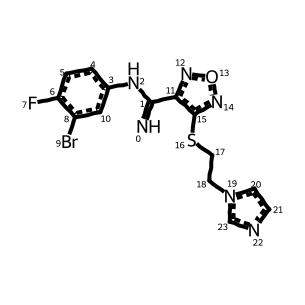 N=C(Nc1ccc(F)c(Br)c1)c1nonc1SCCn1ccnc1